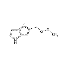 COOCc1cc2[nH]ccc2s1